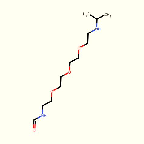 CC(C)NCCOCCOCCOCCNC=O